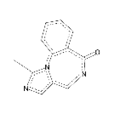 Cc1ncc2cnc(=O)c3ccccc3n12